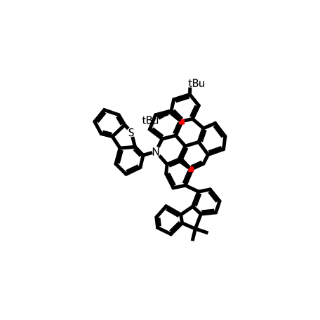 CC(C)(C)c1cc(-c2cccc3cccc(-c4ccccc4N(c4ccc(-c5cccc6c5-c5ccccc5C6(C)C)cc4)c4cccc5c4sc4ccccc45)c23)cc(C(C)(C)C)c1